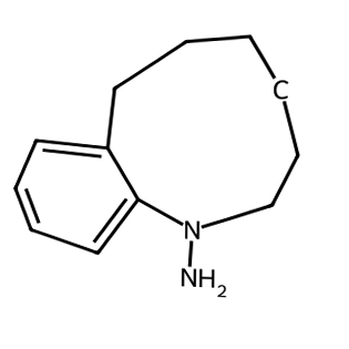 NN1CCCCCCc2ccccc21